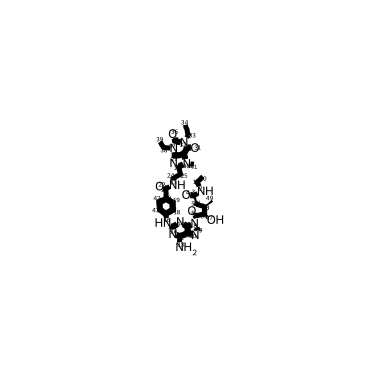 CCNC(=O)[C@@H]1O[C@@H](n2cnc3c(N)nc(Nc4ccc(C(=O)NCCc5nc6c(c(=O)n(CC)c(=O)n6CC)n5C)cc4)nc32)[C@H](O)[C@@H]1C